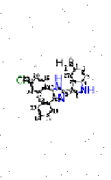 Bc1ccc2[nH]cc(-c3nc(-c4ccccc4)c(-c4ccc(Cl)cc4)[nH]3)c2c1